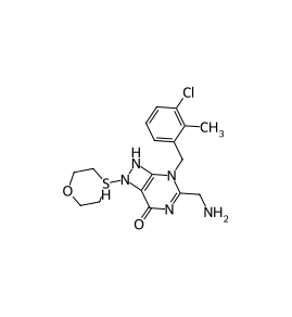 Cc1c(Cl)cccc1Cn1c(CN)nc(=O)c2c1[nH]n2[SH]1CCOCC1